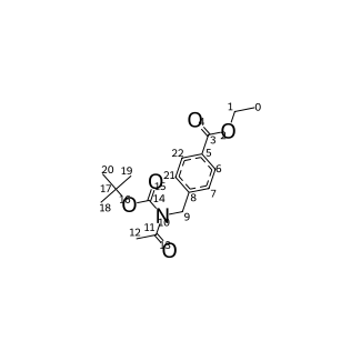 CCOC(=O)c1ccc(CN(C(C)=O)C(=O)OC(C)(C)C)cc1